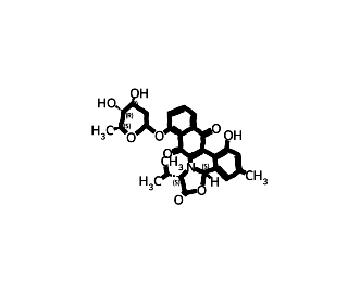 Cc1cc(O)c2c(c1)[C@@H]1OC(=O)[C@H](C(C)C)N1C1=C2C(=O)c2cccc(OC3C[C@@H](O)[C@@H](O)[C@H](C)O3)c2C1=O